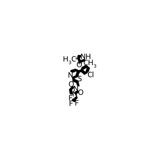 Cc1cc(Cl)cc(-c2ccnc3cc(Cn4c(=O)ccn(CC(F)(F)F)c4=O)sc23)c1O[C@H]1CNC[C@H]1C